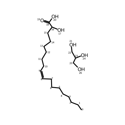 CCCCCCCC/C=C\CCCCCCC(O)C(=O)O.OCC(O)CO